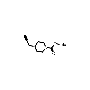 C#CCN1CCN(C(=O)OCCCC)CC1